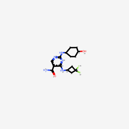 NC(=O)c1cnc(NC2CCC(O)CC2)nc1NC1CC(F)(F)C1